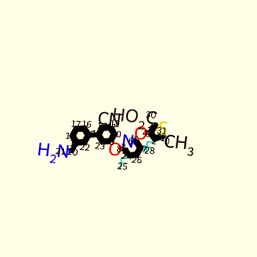 Cc1cc(Oc2nc(Oc3cc(C#N)cc(-c4cccc(CN)c4)c3)c(F)cc2F)c(C(=O)O)s1